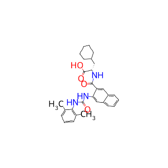 Cc1cccc(C)c1NC(=O)Nc1cc2ccccc2cc1C(=O)N[C@@H](CC1CCCCC1)C(=O)O